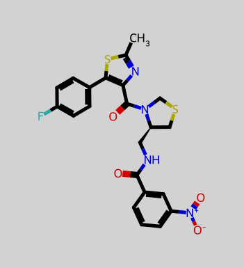 Cc1nc(C(=O)N2CSC[C@H]2CNC(=O)c2cccc([N+](=O)[O-])c2)c(-c2ccc(F)cc2)s1